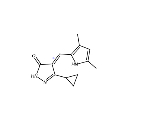 Cc1cc(C)c(/C=C2/C(=O)NN=C2C2CC2)[nH]1